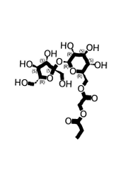 CCC(=O)OCC(=O)OC[C@H]1O[C@H](O[C@]2(CO)O[C@H](CO)[C@@H](O)[C@@H]2O)[C@H](O)[C@@H](O)[C@@H]1O